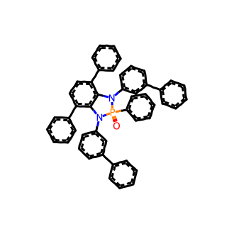 O=P1(c2ccccc2)N(c2cccc(-c3ccccc3)c2)c2c(-c3ccccc3)ccc(-c3ccccc3)c2N1c1cccc(-c2ccccc2)c1